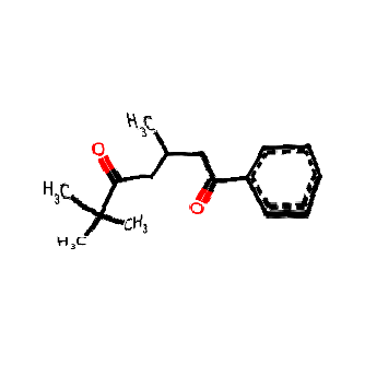 CC(CC(=O)c1ccccc1)CC(=O)C(C)(C)C